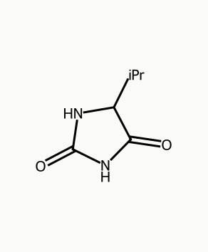 CC(C)C1NC(=O)NC1=O